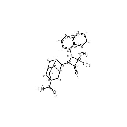 CC1(C)C(=O)N(C2C3CC4CC2CC(C(N)=O)(C4)C3)N1c1cccc2ccccc12